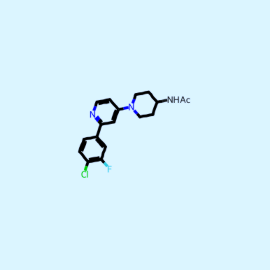 CC(=O)NC1CCN(c2ccnc(-c3ccc(Cl)c(F)c3)c2)CC1